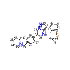 c1cc(SC2CC2)cc(-c2cnn3cc(-c4ccc(CN5CCCCC5)cc4)cnc23)c1